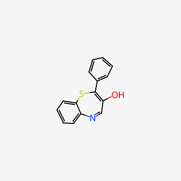 OC1=C(c2ccccc2)Sc2ccccc2N=C1